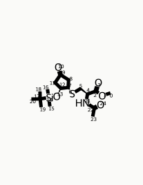 COC(=O)[C@H](CS[C@H]1CC(=O)C[C@H]1O[Si](C)(C)C(C)(C)C)NC(C)=O